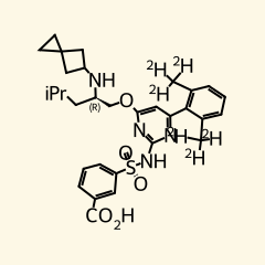 [2H]C([2H])([2H])c1cccc(C([2H])([2H])[2H])c1-c1cc(OC[C@@H](CC(C)C)NC2CC3(CC3)C2)nc(NS(=O)(=O)c2cccc(C(=O)O)c2)n1